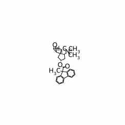 CC1(C(=O)O[C@H]2CC([N+](C)(C)C)C3(C2)CC24OC2C34)c2ccccc2-c2ccccc21